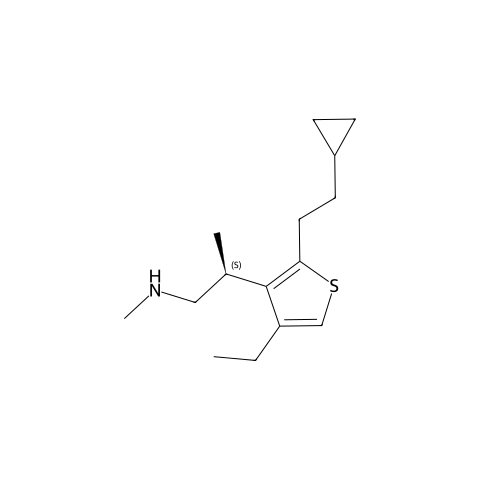 CCc1csc(CCC2CC2)c1[C@H](C)CNC